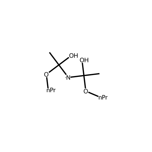 CCCOC(C)(O)[N]C(C)(O)OCCC